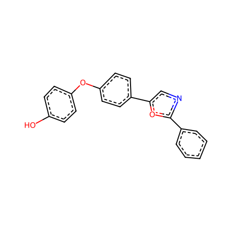 Oc1ccc(Oc2ccc(-c3cnc(-c4ccccc4)o3)cc2)cc1